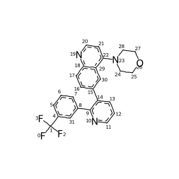 FC(F)(F)c1cccc(-c2ncccc2-c2ccc3nccc(N4CCOCC4)c3c2)c1